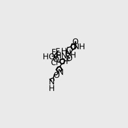 O=C(Nc1cc(Cl)c(-c2ccc(OCC3CNC3)nc2)cc1F)N1[C@H]2CC[C@@H]1c1c[nH]c(=O)cc1C2.O=C(O)C(F)(F)F